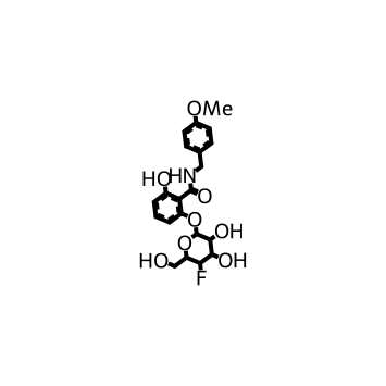 COc1ccc(CNC(=O)c2c(O)cccc2OC2OC(CO)C(F)C(O)C2O)cc1